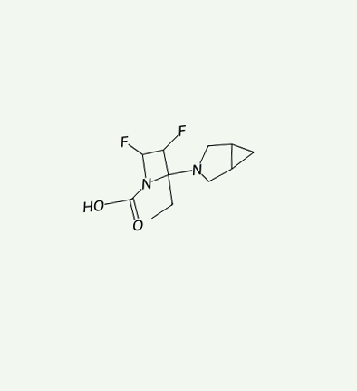 CCC1(N2CC3CC3C2)C(F)C(F)N1C(=O)O